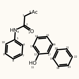 CC(=O)CC(=O)Nc1ccccc1.Oc1ccccc1.c1ccccc1